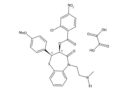 CCN(C)CCN1C(=O)[C@H](OC(=O)c2ccc([N+](=O)[O-])cc2Cl)[C@H](c2ccc(OC)cc2)Sc2ccccc21.O=C(O)C(=O)O